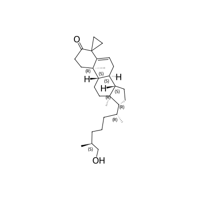 C[C@H](CO)CCC[C@@H](C)[C@H]1CC[C@H]2[C@@H]3CC=C4C5(CC5)C(=O)CC[C@]4(C)[C@H]3CC[C@]12C